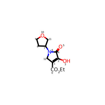 CCOC(=O)C1=C(O)C(=O)N(C2CCOC2)C1